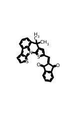 CC1(C)c2cc(C=C3C(=O)c4ccccc4C3=O)sc2-n2c3sccc3c3cccc1c32